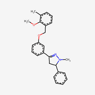 COc1c(C)cccc1COc1cccc(C2=NN(C)C(c3ccccc3)C2)c1